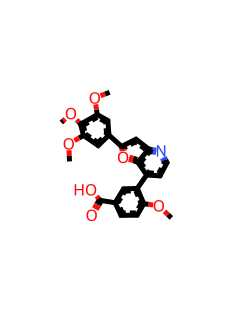 COc1ccc(C(=O)O)cc1-c1ccnc2cc(-c3cc(OC)c(OC)c(OC)c3)oc12